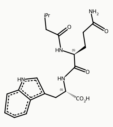 CC(C)CC(=O)N[C@@H](CCC(N)=O)C(=O)N[C@@H](Cc1c[nH]c2ccccc12)C(=O)O